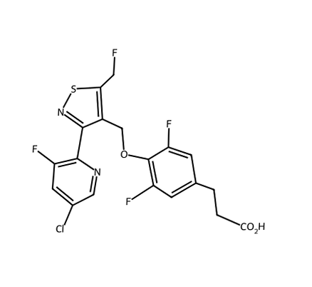 O=C(O)CCc1cc(F)c(OCc2c(-c3ncc(Cl)cc3F)nsc2CF)c(F)c1